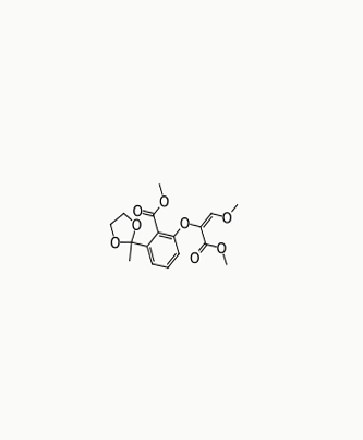 COC=C(Oc1cccc(C2(C)OCCO2)c1C(=O)OC)C(=O)OC